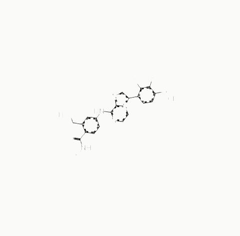 CCc1cc(Nc2nccn3c(-c4ccc(OC)c(F)c4F)cnc23)ccc1C(=O)NC